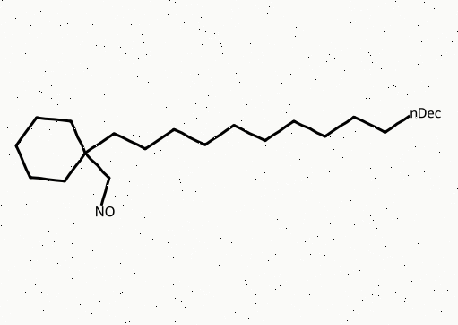 CCCCCCCCCCCCCCCCCCCCC1(CN=O)CCCCC1